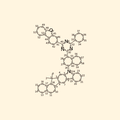 CC1(C)c2cc3c(cc2-c2ccc4ccccc4c21)c1ccccc1n3-c1ccc(-c2nc(-c3ccccc3)nc(-c3ccc4c(c3)oc3ccccc34)n2)c2ccccc12